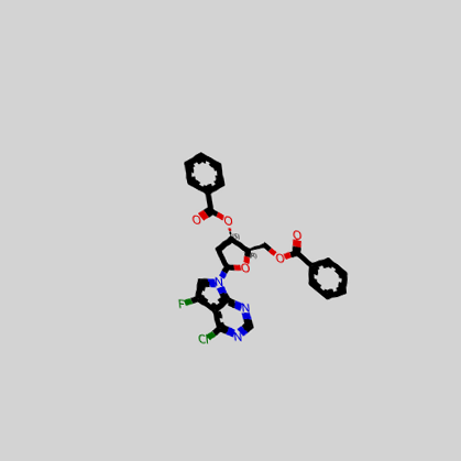 O=C(OC[C@H]1OC(n2cc(F)c3c(Cl)ncnc32)C[C@@H]1OC(=O)c1ccccc1)c1ccccc1